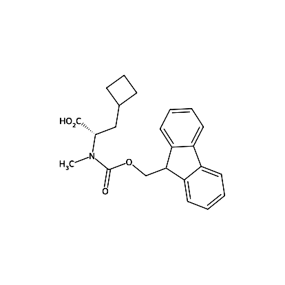 CN(C(=O)OCC1c2ccccc2-c2ccccc21)[C@@H](CC1CCC1)C(=O)O